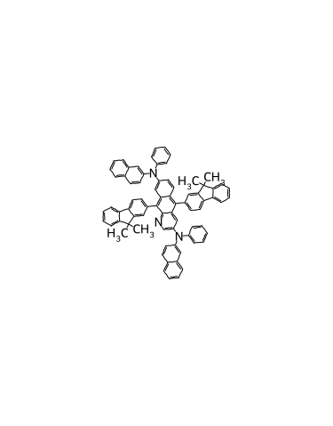 CC1(C)c2ccccc2-c2ccc(-c3c4ccc(N(c5ccccc5)c5ccc6ccccc6c5)cc4c(-c4ccc5c(c4)C(C)(C)c4ccccc4-5)c4ncc(N(c5ccccc5)c5ccc6ccccc6c5)cc34)cc21